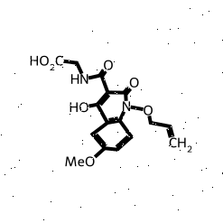 C=CCOn1c(=O)c(C(=O)NCC(=O)O)c(O)c2cc(OC)ccc21